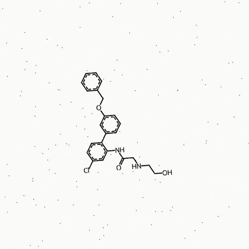 O=C(CNCCO)Nc1cc(Cl)ccc1-c1cccc(OCc2ccccc2)c1